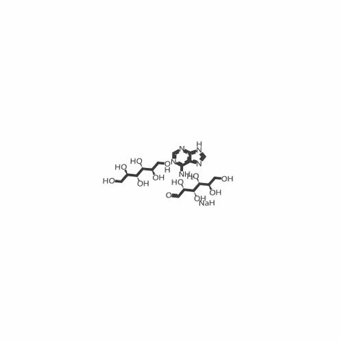 Nc1ncnc2[nH]cnc12.O=C[C@H](O)[C@@H](O)[C@H](O)[C@H](O)CO.OC[C@@H](O)[C@@H](O)[C@H](O)[C@H](O)CO.[NaH]